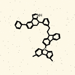 Cc1ccc2c(c1)c1cc(C)ccc1n2-c1ccc2c(c1)-c1ccccc1C2CCc1cccc(C2Cc3ccc(-c4ccccc4)cc3-c3cc[nH]c32)c1